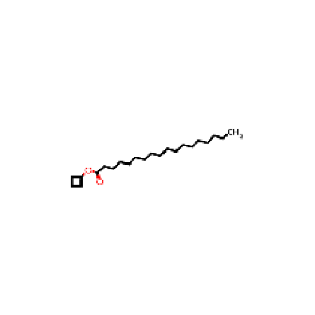 CCCCCCCCCCCCCCCCCC(=O)OC1=CCC1